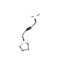 CN(C=O)CC#CCN1CCCC1